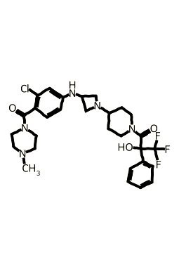 CN1CCN(C(=O)c2ccc(NC3CN(C4CCN(C(=O)C(O)(c5ccccc5)C(F)(F)F)CC4)C3)cc2Cl)CC1